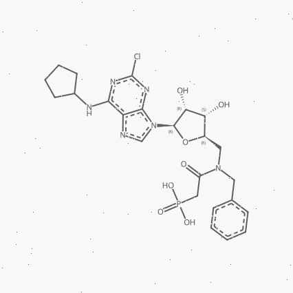 O=C(CP(=O)(O)O)N(Cc1ccccc1)C[C@H]1O[C@@H](n2cnc3c(NC4CCCC4)nc(Cl)nc32)[C@H](O)[C@@H]1O